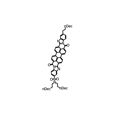 CCCCCCCCCCCCc1ccc2c(c1)nc1c3ccc4c5ccc6c(=O)n7c8ccc(S(=O)(=O)N(CCCCCCCCCCCC)CCCCCCCCCCCC)cc8nc7c7ccc(c8ccc(c(=O)n21)c3c48)c5c67